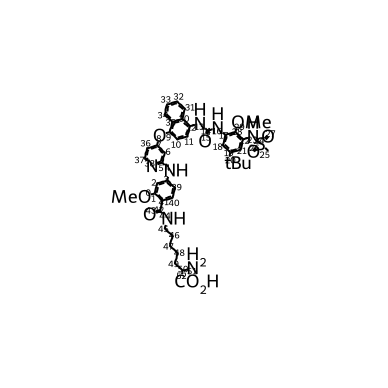 COc1cc(Nc2cc(Oc3ccc(NC(=O)Nc4cc(C(C)(C)C)cc(NS(C)(=O)=O)c4OC)c4ccccc34)ccn2)ccc1C(=O)NCCCCC[C@@H](N)C(=O)O